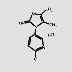 Cc1sc(=N)n(-c2ccc(Cl)nc2)c1C.Cl